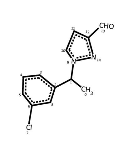 CC(c1cccc(Cl)c1)n1ccc(C=O)n1